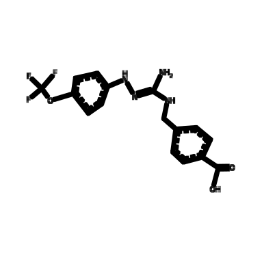 N/C(=N\Nc1ccc(OC(F)(F)F)cc1)NCc1ccc(C(=O)O)cc1